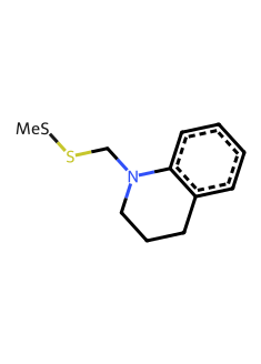 CSSCN1CCCc2ccccc21